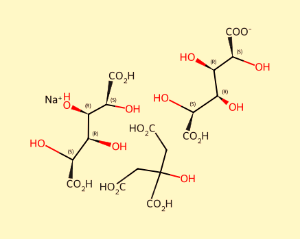 O=C(O)CC(O)(CC(=O)O)C(=O)O.O=C(O)[C@@H](O)[C@H](O)[C@@H](O)[C@H](O)C(=O)O.O=C([O-])[C@@H](O)[C@H](O)[C@@H](O)[C@H](O)C(=O)O.[Na+]